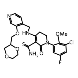 COc1c(Cl)cc(F)cc1N1CCC(NCc2ccncc2OCC2COCCO2)=C(C(N)=S)C1=O